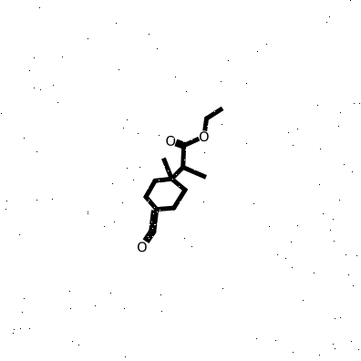 CCOC(=O)C(C)C1(C)CCC(=C=O)CC1